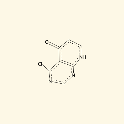 O=c1cc[nH]c2ncnc(Cl)c12